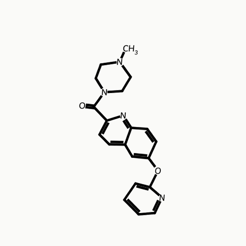 CN1CCN(C(=O)c2ccc3cc(Oc4ccccn4)ccc3n2)CC1